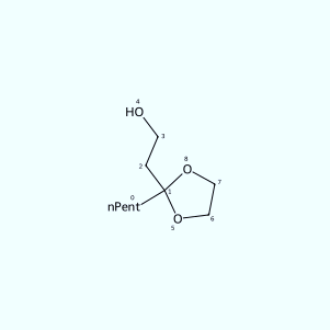 CCCCCC1(CCO)OCCO1